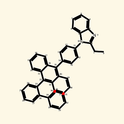 CCc1nc2ccccc2n1-c1ccc(-c2c3ccccc3c(-c3ccccc3-c3ccccc3)c3ccccc23)cc1